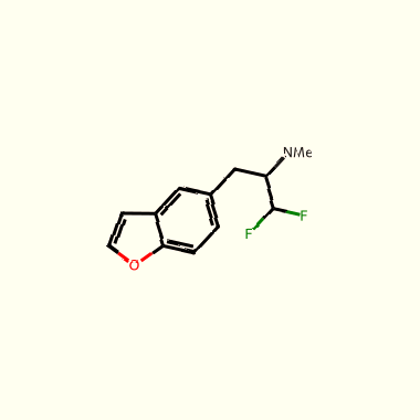 CNC(Cc1ccc2occc2c1)C(F)F